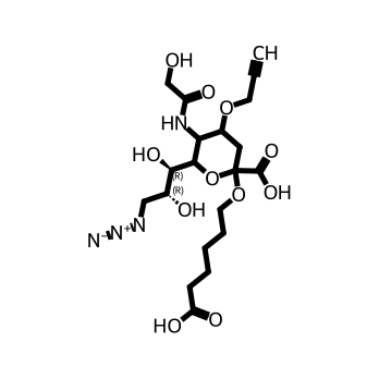 C#CCOC1CC(OCCCCCC(=O)O)(C(=O)O)OC([C@H](O)[C@H](O)CN=[N+]=[N-])C1NC(=O)CO